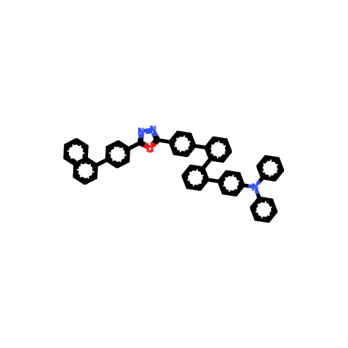 c1ccc(N(c2ccccc2)c2ccc(-c3ccccc3-c3ccccc3-c3ccc(-c4nnc(-c5ccc(-c6cccc7ccccc67)cc5)o4)cc3)cc2)cc1